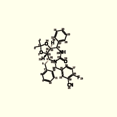 CC1(C)O[C@H]2[C@@H](Cc3ccccc3)N(Cc3ccc(F)c(C#N)c3)C(=O)NC(c3ccccc3)[C@@H]2O1